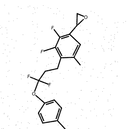 CCCc1ccc(OC(F)(F)CCc2c(C)cc(C3CO3)c(F)c2F)cc1